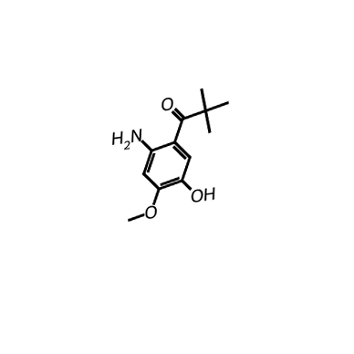 COc1cc(N)c(C(=O)C(C)(C)C)cc1O